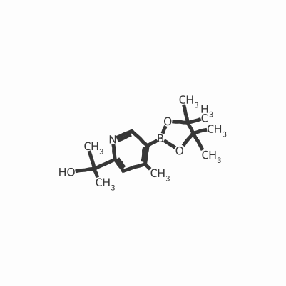 Cc1cc(C(C)(C)O)ncc1B1OC(C)(C)C(C)(C)O1